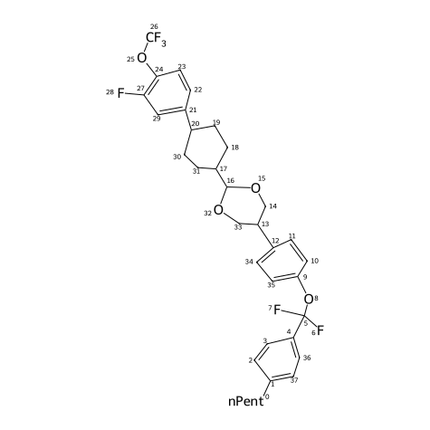 CCCCCc1ccc(C(F)(F)Oc2ccc(C3COC(C4CCC(c5ccc(OC(F)(F)F)c(F)c5)CC4)OC3)cc2)cc1